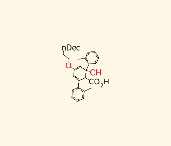 CCCCCCCCCCCCOC1=CC(O)(c2ccccc2C)C(C(=O)O)C(c2ccccc2C)=C1